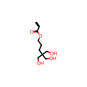 C=CC(=O)OCCCC(CO)(CO)CO